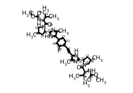 COC(=O)N[C@H](C(=O)N1C[C@@H](C)C[C@H]1c1nc(C)c(C#Cc2ccc(-c3[nH]c([C@@H]4C[C@H](C)CN4C(=O)[C@@H](NC(=O)OC)C(C)C)nc3C)cc2F)[nH]1)C(C)C